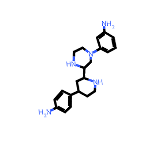 Nc1ccc(C2CCNC(C3CN(c4cccc(N)c4)CCN3)C2)cc1